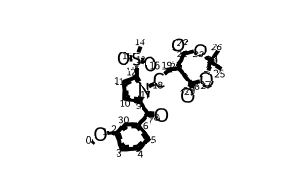 COc1cccc(C(=O)c2ccc(S(C)(=O)=O)n2CCC2C(=O)OC(C)(C)OC2=O)c1